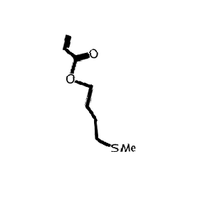 C=CC(=O)OCCCCSC